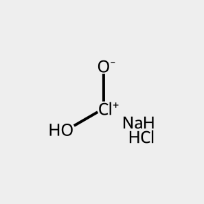 Cl.[NaH].[O-][Cl+]O